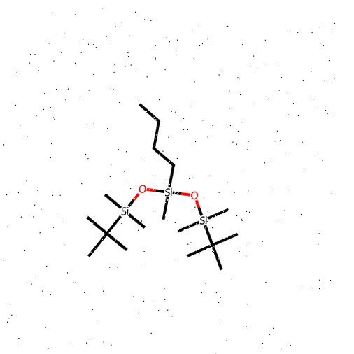 CCCC[Si](C)(O[Si](C)(C)C(C)(C)C)O[Si](C)(C)C(C)(C)C